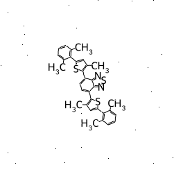 Cc1cc(-c2c(C)cccc2C)sc1-c1ccc(-c2sc(-c3c(C)cccc3C)cc2C)c2nsnc12